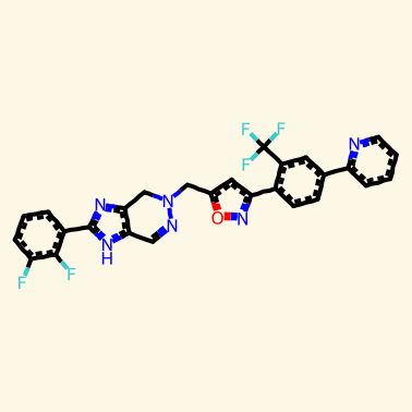 Fc1cccc(-c2nc3c([nH]2)C=NN(Cc2cc(-c4ccc(-c5ccccn5)cc4C(F)(F)F)no2)C3)c1F